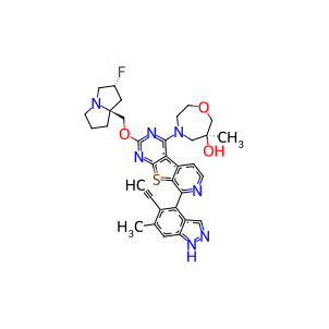 C#Cc1c(C)cc2[nH]ncc2c1-c1nccc2c1sc1nc(OC[C@@]34CCCN3C[C@H](F)C4)nc(N3CCOC[C@@](C)(O)C3)c12